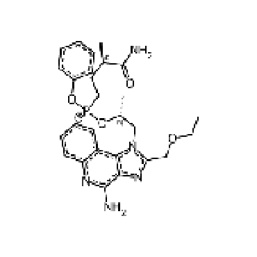 CCOCc1nc2c(N)nc3ccccc3c2n1C[C@@H](C)OP(=O)(CC[C@@H](C)C(N)=O)Oc1ccccc1